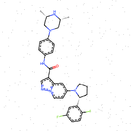 C[C@@H]1CN(c2ccc(NC(=O)c3cnn4ccc(N5CCC[C@@H]5c5cc(F)ccc5F)cc34)cc2)C[C@H](C)N1